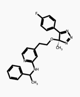 CC(Nc1cc(CCO[C@]2(C)N=NN=C2c2ccc(F)cc2)ccn1)c1ccccc1